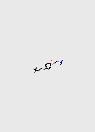 CN(C)CCOc1ccc(CCCC(C)(C)C)cc1